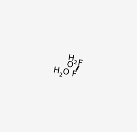 FF.O.O